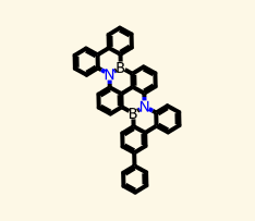 c1ccc(-c2ccc3c(c2)-c2ccccc2N2B3c3cccc4c3-c3c(cccc32)B2c3ccccc3-c3ccccc3N24)cc1